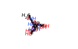 C=CC(=O)NCCCC(=O)Nc1c(I)c(C(=O)NCC(O)CO)c(I)c(C(=O)NCC(O)CO)c1I